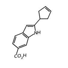 O=C(O)c1ccc2cc(C3CC=CC3)[nH]c2c1